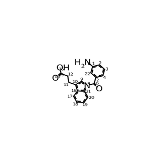 Nc1cccc(C(=O)n2cc(CCC(=O)O)c3ccccc32)c1